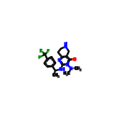 CC(Nc1nc2c(c(=O)n1N(C)C)CNCC2)c1ccc(C(F)(F)F)cc1